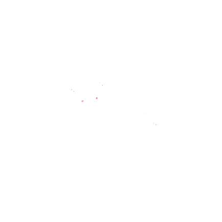 CN1CCN(c2ccccc2C(=C(C(N)=O)c2ccccc2)c2ccccc2)CC1